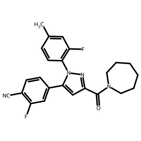 Cc1ccc(-n2nc(C(=O)N3CCCCCC3)cc2-c2ccc(C#N)c(F)c2)c(F)c1